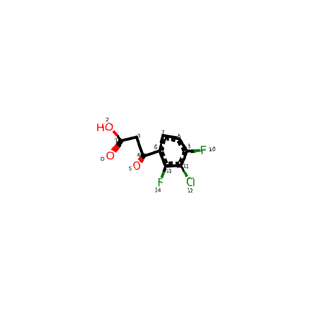 O=C(O)CC(=O)c1ccc(F)c(Cl)c1F